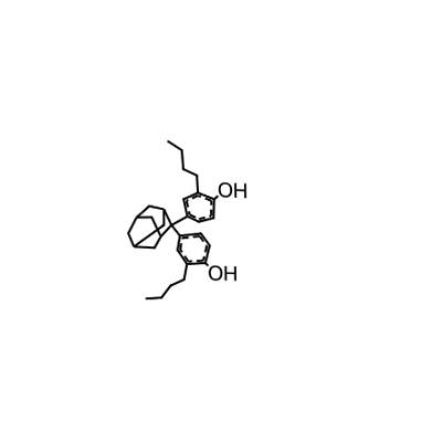 CCCCc1cc(C2(c3ccc(O)c(CCCC)c3)C3CC4CC(C3)CC2C4)ccc1O